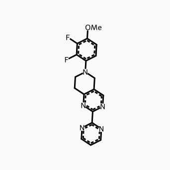 COc1ccc(N2CCc3nc(-c4ncccn4)ncc3C2)c(F)c1F